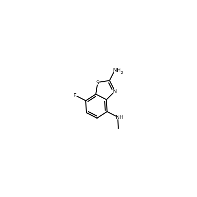 CNc1ccc(F)c2sc(N)nc12